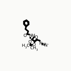 CC1(C)OC2=C(CN=[N+]=[N-])OC[C@]2(CNC(=O)CCc2ccccc2)O1